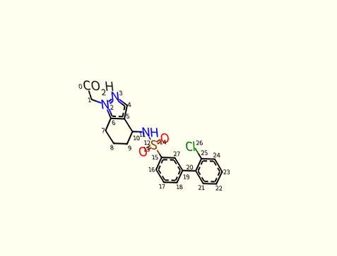 O=C(O)Cn1ncc2c1CCCC2NS(=O)(=O)c1cccc(-c2ccccc2Cl)c1